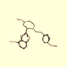 COc1ccc(CCN2CCC(C=O)CC2c2nc3c(C)cccc3s2)cc1